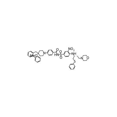 COC1(Cc2ccccc2-c2ccccc2)CCN(c2ccc(C(=O)NS(=O)(=O)c3ccc(N[C@H](CCN4CCOCC4)CSc4ccccc4)c([N+](=O)[O-])c3)cc2)CC1